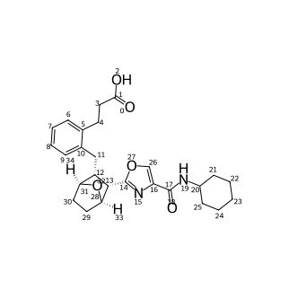 O=C(O)CCc1ccccc1C[C@@H]1[C@H](c2nc(C(=O)NC3CCCCC3)co2)[C@H]2CC[C@@H]1O2